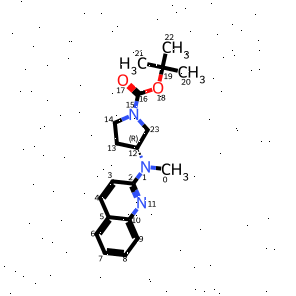 CN(c1ccc2ccccc2n1)[C@@H]1CCN(C(=O)OC(C)(C)C)C1